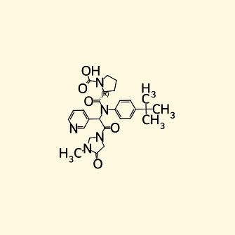 CN1CN(C(=O)C(c2cccnc2)N(C(=O)[C@H]2CCCN2C(=O)O)c2ccc(C(C)(C)C)cc2)CC1=O